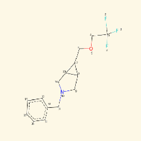 FC(F)(F)COCC1C2CN(Cc3ccccc3)CC12